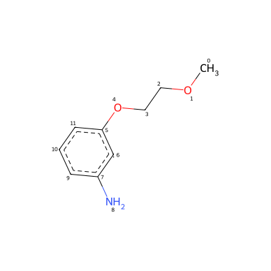 COCCOc1[c]c(N)ccc1